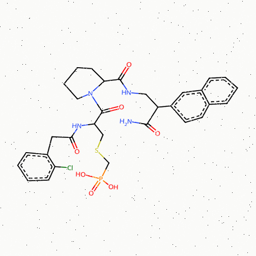 NC(=O)C(CNC(=O)C1CCCCN1C(=O)C(CSCP(=O)(O)O)NC(=O)Cc1ccccc1Cl)c1ccc2ccccc2c1